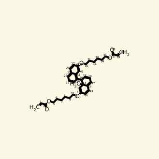 C=CC(=O)OCCCCCCOC1=CC2(C)C(=CC=CC2c2cccc3ccc(OCCCCCCOC(=O)C=C)cc23)C=C1